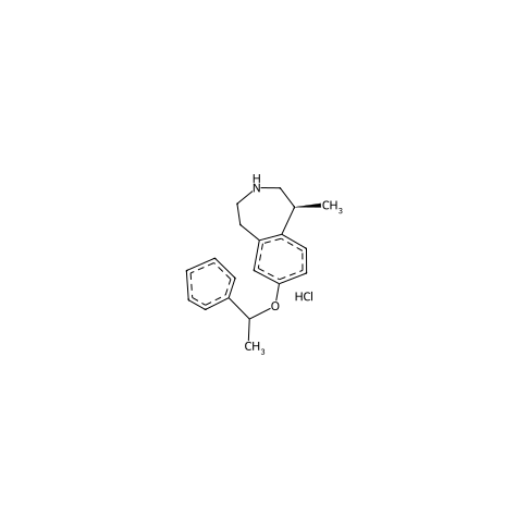 CC(Oc1ccc2c(c1)CCNC[C@H]2C)c1ccccc1.Cl